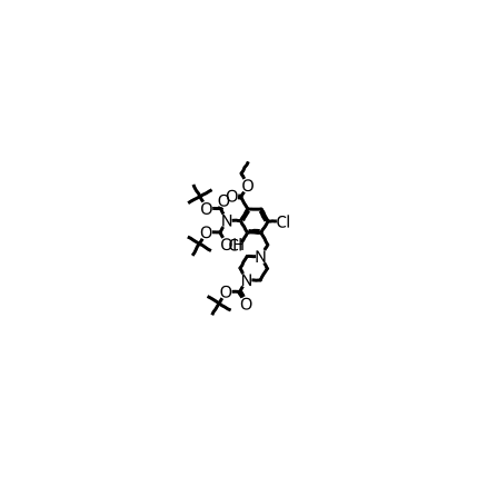 CCOC(=O)c1cc(Cl)c(CN2CCN(C(=O)OC(C)(C)C)CC2)c(Cl)c1N(C(=O)OC(C)(C)C)C(O)OC(C)(C)C